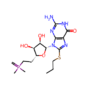 C=P(C)(C)CC[C@H]1O[C@@H](n2c(SCCC)nc3c(=O)[nH]c(N)nc32)[C@H](O)[C@@H]1O